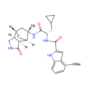 COc1cccc2[nH]c(C(=O)N[C@@H](CC3CC3)C(=O)N[C@@]3(C#N)C[C@@H]4CC[C@@H]3[C@H]3C(=O)NC[C@@H]43)cc12